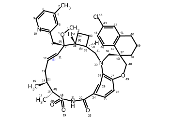 CO[C@@]1(Cc2cc(C)ccn2)/C=C/C[C@H](C)[C@@H](C)S(=O)(=O)NC(=O)c2ccc3c(c2)N(C[C@@H]2CC[C@H]21)C[C@@]1(CCCc2cc(Cl)ccc21)CO3